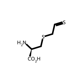 N[C@@H](CSCC=S)C(=O)O